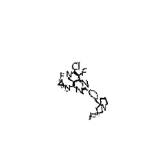 CN(c1nc(OCC23CCCN2C[C@H](F)C3)nc2c(F)c(Cl)ncc12)[C@H]1C[C@@H]1F